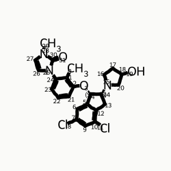 Cc1c(O[C@H]2c3cc(Cl)cc(Cl)c3C[C@@H]2N2CCC(O)C2)cccc1-n1ccn(C)c1=O